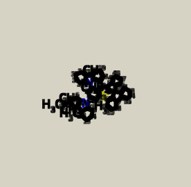 CC(C)(C)c1ccc2c(c1)C1(C)CCCCC1(C)N2c1cc2c3c(c1)N1c4c(cccc4C4(C)CCCCC14C)B3C1=C(S2)C2(c3ccccc31)c1ccccc1-c1ccccc12